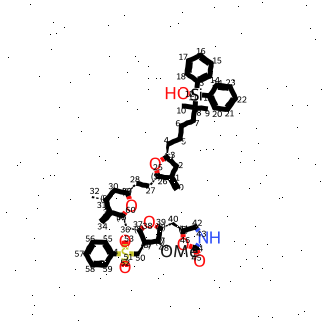 C=C1C[C@H](CCCCC(C)(C)[Si](O)(c2ccccc2)c2ccccc2)O[C@H]1CC[C@H]1C[C@@H](C)C(=C)[C@@H](C[C@@H]2O[C@H](C[C@H]3CNC(=O)O3)[C@H](OC)[C@H]2CS(=O)(=O)c2ccccc2)O1